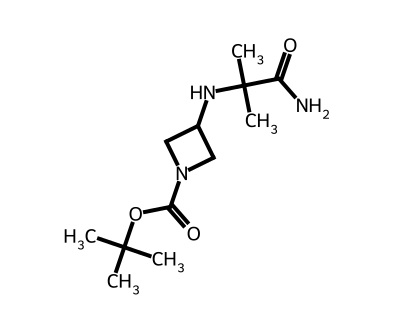 CC(C)(C)OC(=O)N1CC(NC(C)(C)C(N)=O)C1